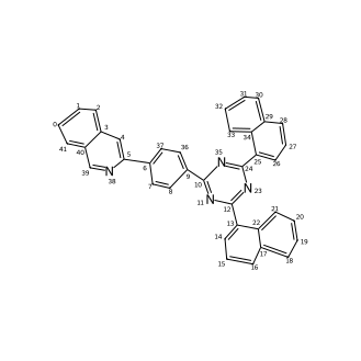 c1ccc2cc(-c3ccc(-c4nc(-c5cccc6ccccc56)nc(-c5cccc6ccccc56)n4)cc3)ncc2c1